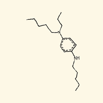 CCCCCNc1ccc(N(CCC)CCCCC)cc1